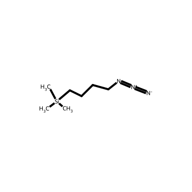 C[Si](C)(C)CCCCN=[N+]=[N-]